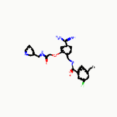 CCc1cc(Cl)cc(C(=O)NCc2ccc(C(=N)N)cc2OCC(=O)NCc2cccnc2)c1